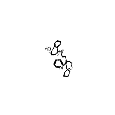 O[C@@H]1CC[C@H](NCC[C@@]2(c3ccccn3)CCOC3(CCCC3)C2)c2ccccc21